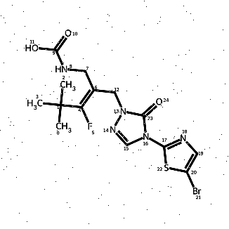 CC(C)(C)C(F)=C(CNC(=O)O)Cn1ncn(-c2ncc(Br)s2)c1=O